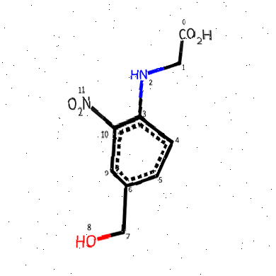 O=C(O)CNc1ccc(CO)cc1[N+](=O)[O-]